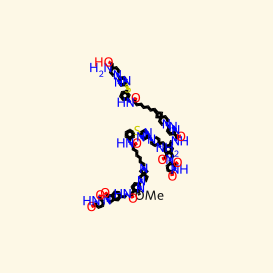 COc1nc(N2CCC3(CN(CCCCCCC(=O)Nc4cccc(Sc5cnc(N6CCC(N)(Cc7cc8c(cc7CNC(=O)c7ccc(N9CCC%10(CC9)CC(=CCCCCCC(=O)Nc9cccc(Sc%11cnc(N%12CCC(N)(CO)CC%12)cn%11)c9)C%10)nn7)CN(C7CCC(=O)NC7=O)C8=O)CC6)cn5)c4)C3)C2)ccc1C(=O)NCc1ccc2c(c1)CN(C1CCC(=O)NC1=O)C2=O